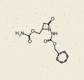 NC(=O)OCC1CC(=O)N1NC(=O)OCc1ccccc1